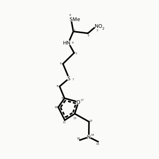 CSC(C[N+](=O)[O-])NCCSCc1ccc(CN(C)C)o1